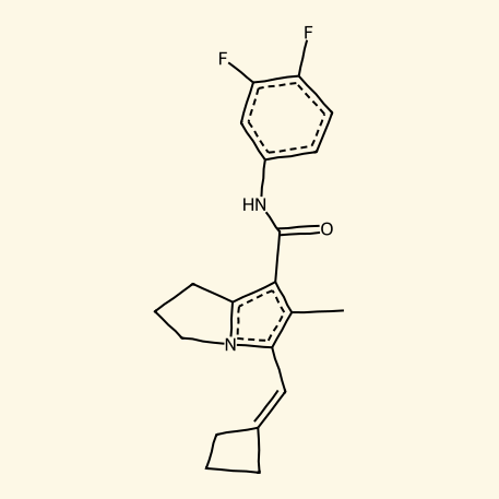 Cc1c(C(=O)Nc2ccc(F)c(F)c2)c2n(c1C=C1CCC1)CCC2